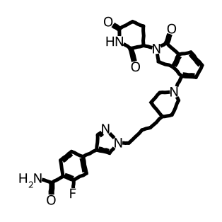 NC(=O)c1ccc(-c2cnn(CCCC3CCN(c4cccc5c4CN(C4CCC(=O)NC4=O)C5=O)CC3)c2)cc1F